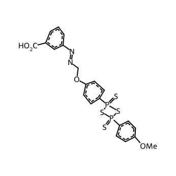 COc1ccc(P2(=S)SP(=S)(c3ccc(OCN=Nc4cccc(C(=O)O)c4)cc3)S2)cc1